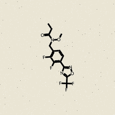 CCC(=O)N(Cc1ccc(-c2noc(C(F)(F)F)n2)c(F)c1F)OC